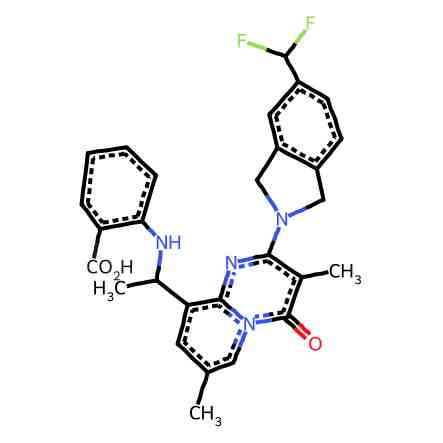 Cc1cc(C(C)Nc2ccccc2C(=O)O)c2nc(N3Cc4ccc(C(F)F)cc4C3)c(C)c(=O)n2c1